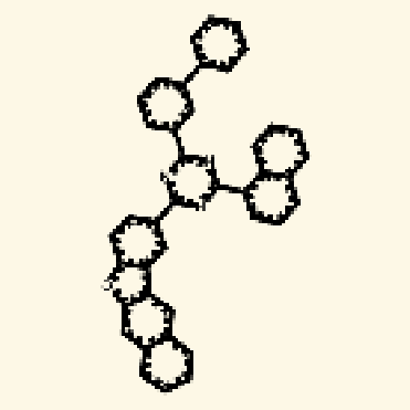 c1ccc(-c2cccc(-c3nc(-c4ccc5oc6cc7ccccc7cc6c5c4)nc(-c4cccc5ccccc45)n3)c2)cc1